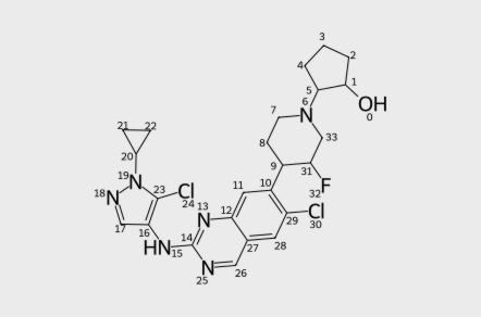 OC1CCCC1N1CCC(c2cc3nc(Nc4cnn(C5CC5)c4Cl)ncc3cc2Cl)C(F)C1